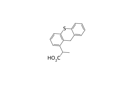 CC(C(=O)O)c1cccc2c1Cc1ccccc1S2